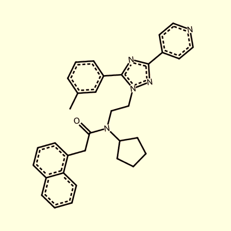 Cc1cccc(-c2nc(-c3ccncc3)nn2CCN(C(=O)Cc2cccc3ccccc23)C2CCCC2)c1